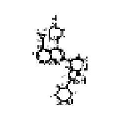 c1cc(-c2nc(N3CCNCC3)c3c(C4CC4)cncc3n2)c2cc(C3CCCOC3)[nH]c2n1